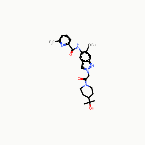 CC(C)COc1cc2nn(CC(=O)N3CCC(C(C)(C)O)CC3)cc2cc1NC(=O)c1cccc(C(F)(F)F)n1